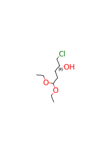 CCOC(CC[C@@H](O)CCl)OCC